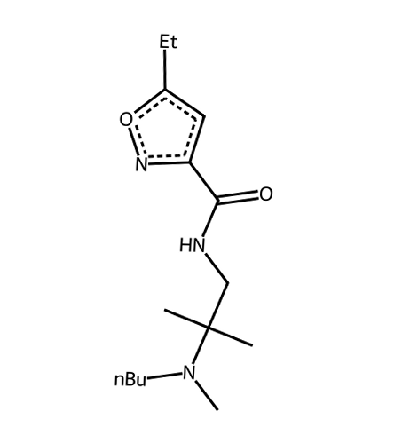 CCCCN(C)C(C)(C)CNC(=O)c1cc(CC)on1